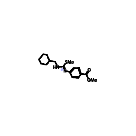 COC(=O)c1ccc(/N=C(/NCC2CCCCC2)SC)cc1